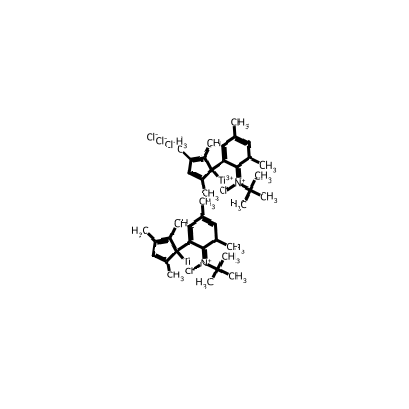 CC1=CC(C)C(=[N+](Cl)C(C)(C)C)C([C]2([Ti+3])C(C)=CC(C)=C2C)=C1.CC1=CC(C)C(=[N+](Cl)C(C)(C)C)C([C]2([Ti])C(C)=CC(C)=C2C)=C1.[Cl-].[Cl-].[Cl-]